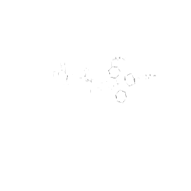 CCNC(=O)CCC(=O)NCC(O)COC(c1ccccc1)(c1ccc(OC)cc1)c1ccc(OC)cc1